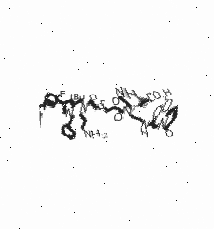 CC(C)(C)[C@H](c1cc(-c2cc(F)ccc2F)cn1Cc1ccccc1)N(CCCN)C(=O)CSCCC(=O)N(CCNC(=O)CN1C(=O)C=CC1=O)[C@@H](CCC(=O)O)C(N)=O